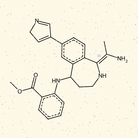 COC(=O)c1ccccc1NC1CCN/C(=C(/C)N)c2ccc(C3=CCN=C3)cc21